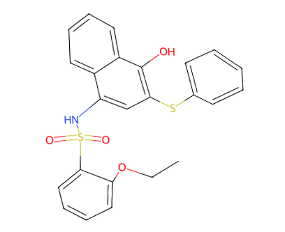 CCOc1ccccc1S(=O)(=O)Nc1cc(Sc2ccccc2)c(O)c2ccccc12